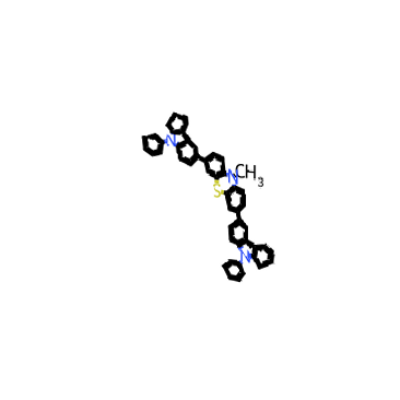 CN1c2ccc(-c3ccc4c(c3)c3ccccc3n4-c3ccccc3)cc2Sc2cc(-c3ccc4c(c3)c3ccccc3n4-c3ccccc3)ccc21